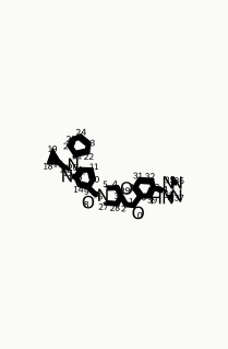 O=C1CC2(CCN(C(=O)c3ccc4c(c3)nc(C3CC3)n4-c3ccccc3)CC2)Oc2ccc(-c3nnn[nH]3)cc21